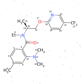 CCN(C(=O)c1ccc(C)cc1N(C)C)[C@@H](C)COc1ccc(C(F)(F)F)cn1